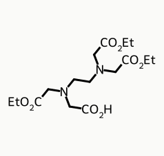 CCOC(=O)CN(CCN(CC(=O)OCC)CC(=O)OCC)CC(=O)O